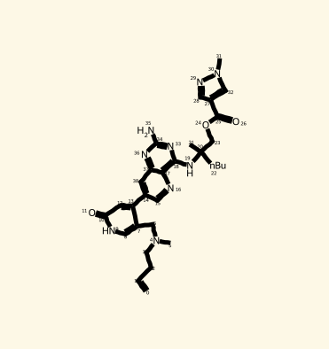 C=CCCN(C)Cc1c[nH]c(=O)cc1-c1cnc2c(NC(C)(CCCC)COC(=O)c3cnn(C)c3)nc(N)nc2c1